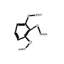 CCCCCCOc1c[c]cc(OCCCCCC)c1OCCCCCC